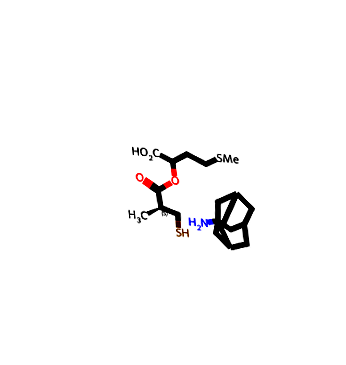 CSCCC(OC(=O)[C@H](C)CS)C(=O)O.NC12CC3CC(CC(C3)C1)C2